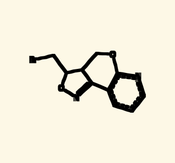 BrCC1ON=C2c3cccnc3OCC21